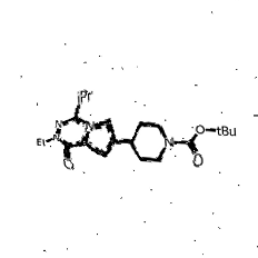 CCn1nc(C(C)C)n2cc(C3CCN(C(=O)OC(C)(C)C)CC3)cc2c1=O